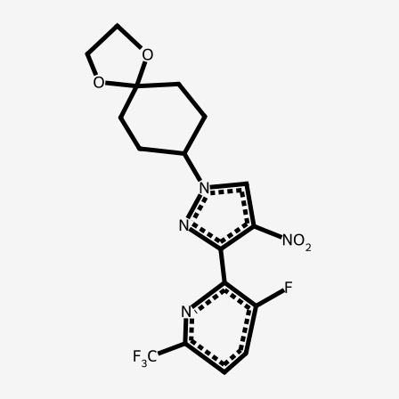 O=[N+]([O-])c1cn(C2CCC3(CC2)OCCO3)nc1-c1nc(C(F)(F)F)ccc1F